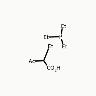 CCC(C(C)=O)C(=O)O.CCP(CC)CC